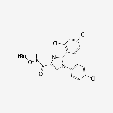 CC(C)(C)ONC(=O)c1cn(-c2ccc(Cl)cc2)c(-c2ccc(Cl)cc2Cl)n1